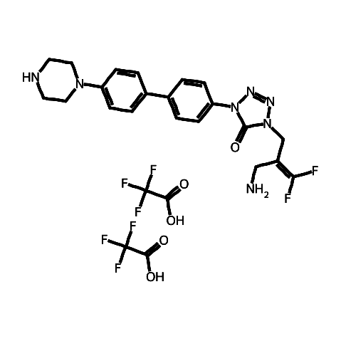 NCC(Cn1nnn(-c2ccc(-c3ccc(N4CCNCC4)cc3)cc2)c1=O)=C(F)F.O=C(O)C(F)(F)F.O=C(O)C(F)(F)F